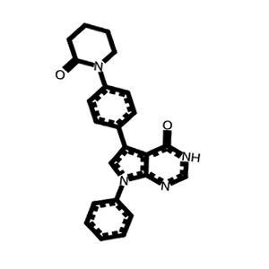 O=C1CCCCN1c1ccc(-c2cn(-c3ccccc3)c3nc[nH]c(=O)c23)cc1